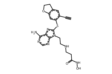 C#Cc1cc2c(cc1Sc1nc3c(N)ncnc3n1CCNCCC(=O)NO)OCC2